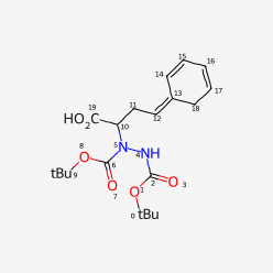 CC(C)(C)OC(=O)NN(C(=O)OC(C)(C)C)C(CC=C1C=CC=CC1)C(=O)O